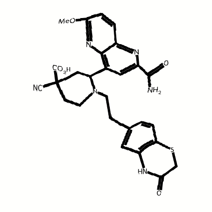 COc1ccc2nc(C(N)=O)cc(C3CC(C#N)(C(=O)O)CCN3CCc3ccc4c(c3)NC(=O)CS4)c2n1